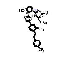 CC(C)(C)OC(=O)N/C(=N\C(=O)O)N1CC[C@H](O)[C@H]1c1nc(-c2ccc(CCc3ccc(C(F)(F)F)cc3)c(C(F)(F)F)c2)no1